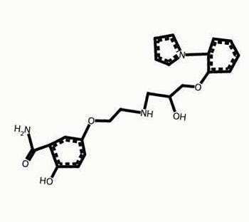 NC(=O)c1cc(OCCNCC(O)COc2ccccc2-n2cccc2)ccc1O